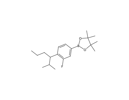 CCCC(c1ccc(B2OC(C)(C)C(C)(C)O2)cc1F)C(C)C